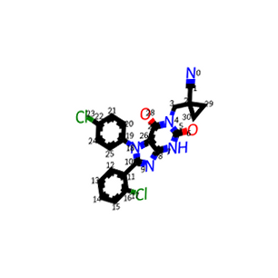 N#CC1(Cn2c(=O)[nH]c3nc(-c4ccccc4Cl)n(-c4ccc(Cl)cc4)c3c2=O)CC1